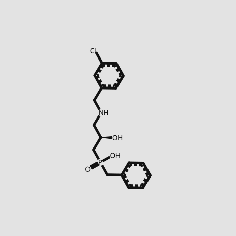 O=P(O)(Cc1ccccc1)C[C@H](O)CNCc1cccc(Cl)c1